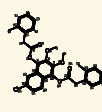 COc1c(OC)c(OC(=O)Cc2ccccc2C)c2cc(Cl)ccc2c1OC(=O)Cc1ccccc1C